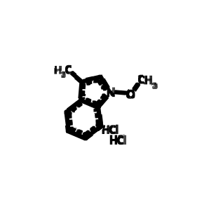 COn1cc(C)c2ccccc21.Cl.Cl